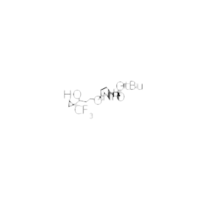 CC(C)(C)OC(=O)N1C=CC(OCCC(O)C2(C(F)(F)F)CC2)N1